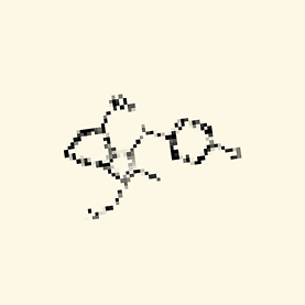 CC(=O)Cn1c(C)c(Sc2ccc(Cl)cc2)c2c([N+](=O)[O-])cccc21